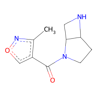 Cc1nocc1C(=O)N1CCC2NCC21